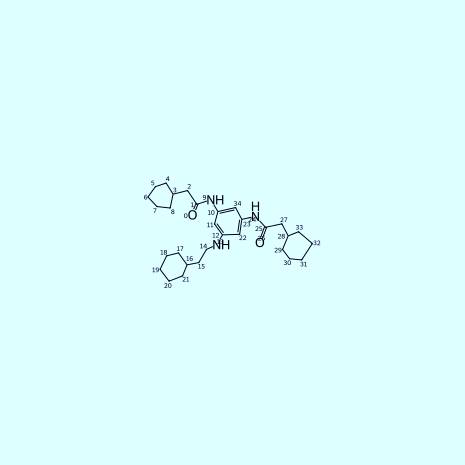 O=C(CC1CCCCC1)Nc1cc(NCCC2CCCCC2)cc(NC(=O)CC2CCCCC2)c1